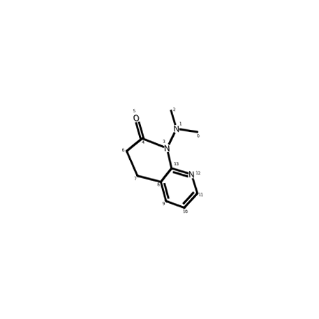 CN(C)N1C(=O)CCc2cccnc21